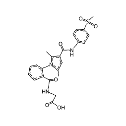 Cc1cc(C(=O)Nc2ccc(S(C)(=O)=O)cc2)c(C)n1-c1ccccc1C(=O)NCC(=O)O